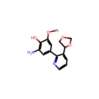 CC(C)Oc1cc(-c2ncccc2C2COCO2)cc(N)c1O